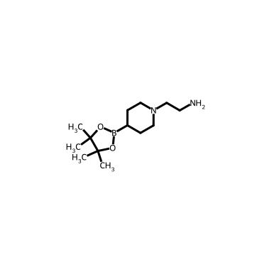 CC1(C)OB(C2CCN(CCN)CC2)OC1(C)C